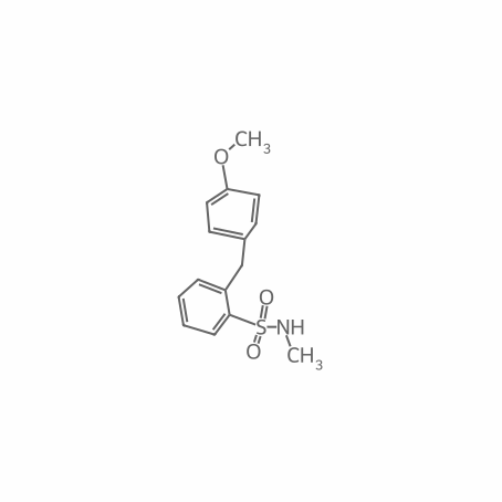 CNS(=O)(=O)c1ccccc1Cc1ccc(OC)cc1